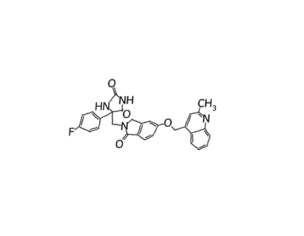 Cc1cc(COc2ccc3c(c2)CN(CC2(c4ccc(F)cc4)NC(=O)NC2=O)C3=O)c2ccccc2n1